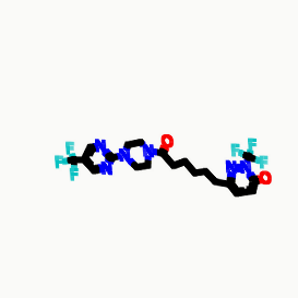 O=C(CCCCCc1ccc(=O)n(C(F)(F)F)n1)N1CCN(c2ncc(C(F)(F)F)cn2)CC1